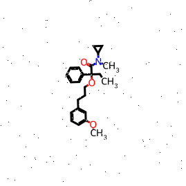 CCC(OCCCc1cccc(OC)c1)(C(=O)N(C)C1CC1)c1ccccc1